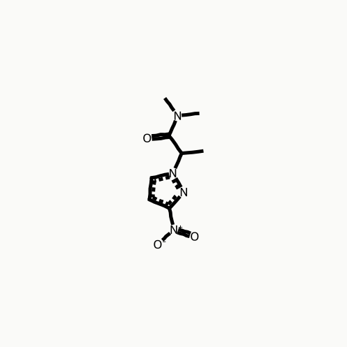 CC(C(=O)N(C)C)n1ccc([N+](=O)[O-])n1